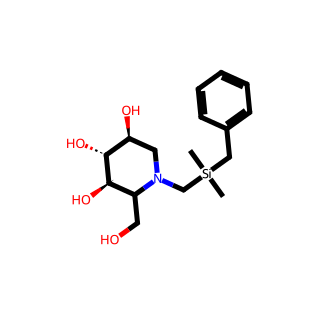 C[Si](C)(Cc1ccccc1)CN1C[C@H](O)[C@@H](O)[C@H](O)C1CO